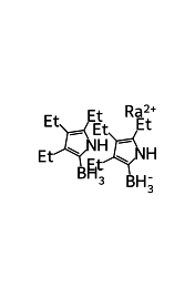 [BH3-]c1[nH]c(CC)c(CC)c1CC.[BH3-]c1[nH]c(CC)c(CC)c1CC.[Ra+2]